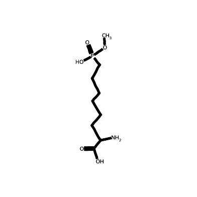 COP(=O)(O)CCCCCCC(N)C(=O)O